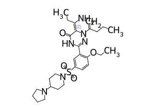 C=C(CCC)N1N=C(c2cc(S(=O)(=O)N3CCC(N4CCCC4)CC3)ccc2OCC)NC(=O)/C1=C(/N)CC